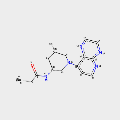 CC[C@@H](C)CC(=O)N[C@@H]1C[C@H](C)CN(c2ccnc3nccnc23)C1